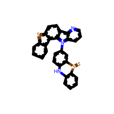 S=S1c2ccccc2Nc2ccc(-n3c4cccnc4c4ccc5sc6ccccc6c5c43)cc21